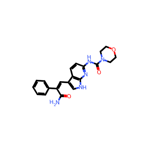 NC(=O)C(=Cc1c[nH]c2nc(NC(=O)N3CCOCC3)ccc12)c1ccccc1